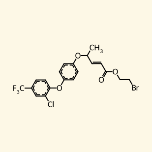 CC(/C=C/C(=O)OCCBr)Oc1ccc(Oc2ccc(C(F)(F)F)cc2Cl)cc1